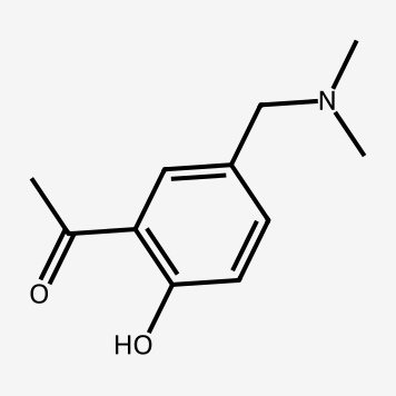 CC(=O)c1cc(CN(C)C)ccc1O